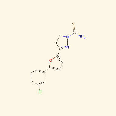 NC(=S)N1CCC(c2ccc(-c3cccc(Cl)c3)o2)=N1